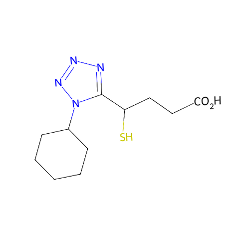 O=C(O)CCC(S)c1nnnn1C1CCCCC1